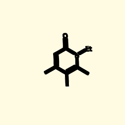 CCn1c(C)c(C)c(C)cc1=O